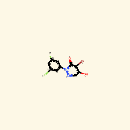 O=c1c(Br)c(O)cnn1-c1cc(F)cc(F)c1